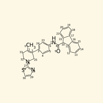 CC1=C(c2ccc(NC(=O)C3c4ccccc4-c4ccccc43)cc2)CN(c2nccs2)CC1